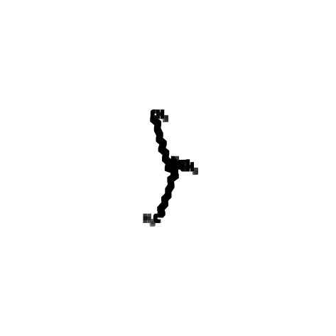 CCCCCCCCCCc1cn(CCCCCCCCCC)c(C)n1.Cl